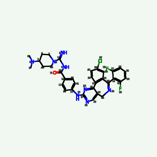 CN(C)C1CCN(C(=N)NC(=O)c2ccc(Nc3ncc4c(n3)-c3ccc(Cl)cc3C(c3c(F)cccc3F)=NC4)cc2)CC1